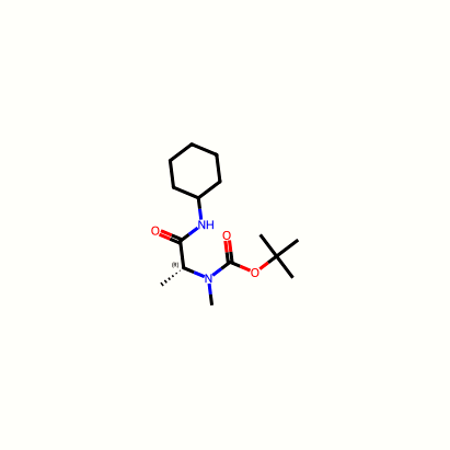 C[C@H](C(=O)NC1CCCCC1)N(C)C(=O)OC(C)(C)C